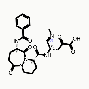 C/N=C/[C@H](CC(=O)C(=O)O)NC(=O)[C@@H]1CCCN2C(=O)CC[C@H](NC(=O)c3ccccc3)C(=O)N12